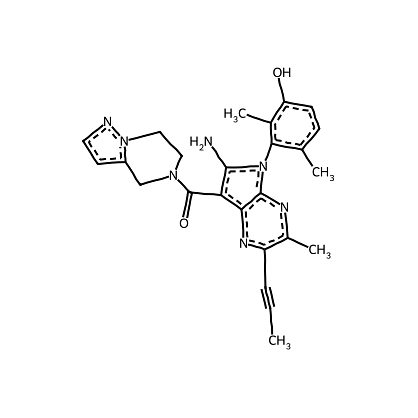 CC#Cc1nc2c(C(=O)N3CCn4nccc4C3)c(N)n(-c3c(C)ccc(O)c3C)c2nc1C